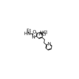 CCNc1nc2cc(CCc3ccccn3)ccc2o1.Cl.Cl